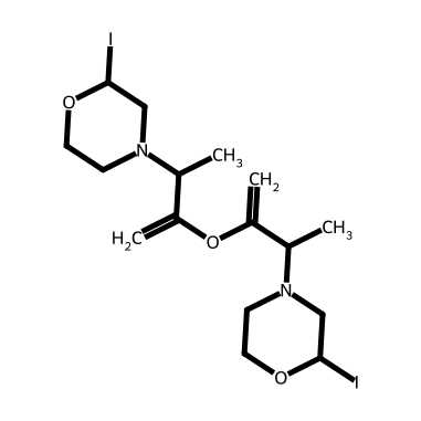 C=C(OC(=C)C(C)N1CCOC(I)C1)C(C)N1CCOC(I)C1